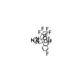 CC(C)(CC(F)(F)C(F)C(F)(F)F)C(O)(Cn1cncn1)c1ccc(F)cc1F